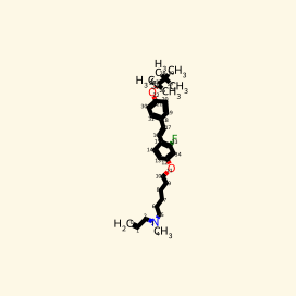 C=CCN(C)CCCCCCOc1ccc(C=Cc2ccc(O[Si](C)(C)C(C)(C)C)cc2)c(F)c1